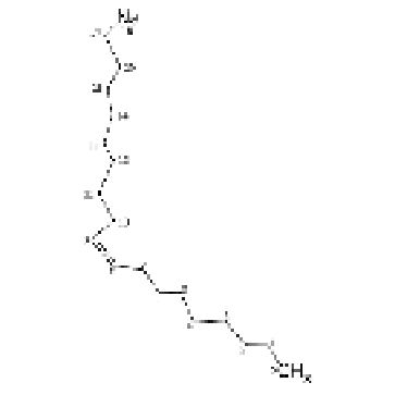 CCCCCCCC/C=C\CCCCCCC[CH2][Na]